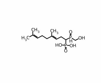 CC(C)=CCC/C(C)=C/CC([PH](=O)CO)P(=O)(O)O